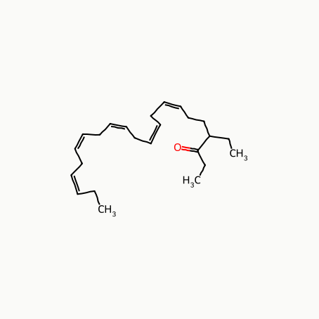 CC/C=C\C/C=C\C/C=C\C/C=C\C/C=C\CCC(CC)C(=O)CC